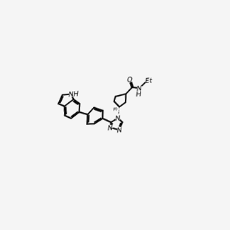 CCNC(=O)C1CC[C@@H](n2cnnc2-c2ccc(-c3ccc4cc[nH]c4c3)cc2)C1